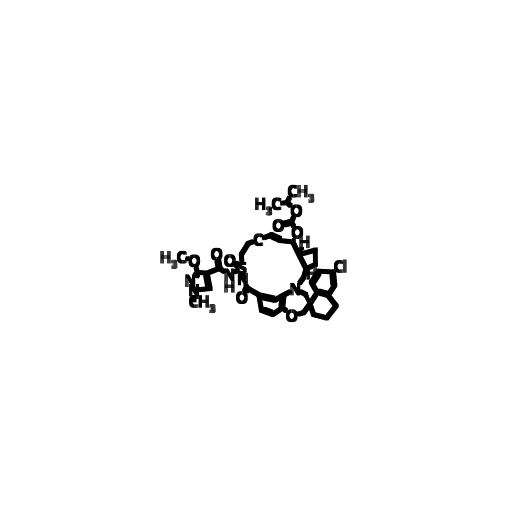 COc1nn(C)cc1C(=O)NS1(=O)=NC(=O)c2ccc3c(c2)N(C[C@@H]2CC[C@H]2[C@@H](OC(=O)OC(C)C)/C=C/CCC1)C[C@@]1(CCCc2cc(Cl)ccc21)CO3